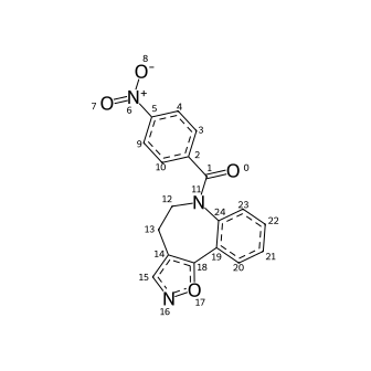 O=C(c1ccc([N+](=O)[O-])cc1)N1CCc2cnoc2-c2ccccc21